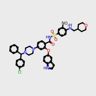 O=C(NS(=O)(=O)c1ccc(NCC2CCOCC2)c([N+](=O)[O-])c1)c1ccc(N2CCN(C(c3ccccc3)c3ccc(Cl)cc3)CC2)cc1Oc1ccc2[nH]ccc2c1